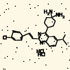 CC(C)c1ccc2nc(C=Cc3ccc(Cl)cc3)nc(C3CCC(N)(N)CC3)c2c1.Cl.Cl